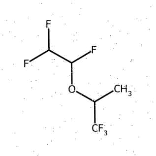 CC(OC(F)C(F)F)C(F)(F)F